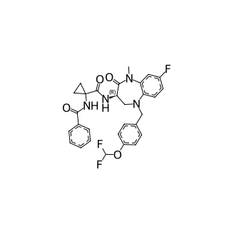 CN1C(=O)[C@H](NC(=O)C2(NC(=O)c3ccccc3)CC2)CN(Cc2ccc(OC(F)F)cc2)c2ccc(F)cc21